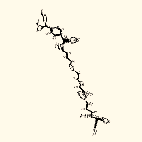 COC(OC)c1ccc(C(=O)NCCCOCCOCCOCCCNC(C)=O)cc1